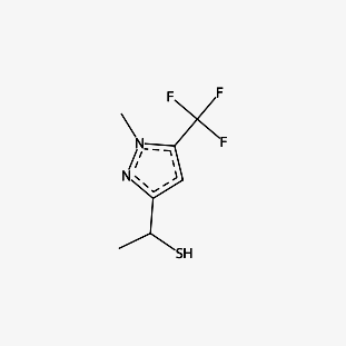 CC(S)c1cc(C(F)(F)F)n(C)n1